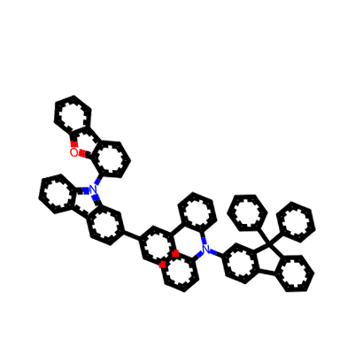 c1ccc(N(c2ccc3c(c2)C(c2ccccc2)(c2ccccc2)c2ccccc2-3)c2ccccc2-c2cccc(-c3ccc4c5ccccc5n(-c5cccc6c5oc5ccccc56)c4c3)c2)cc1